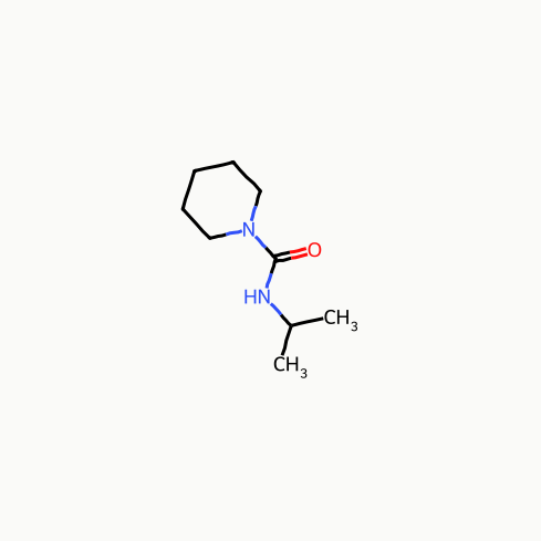 CC(C)NC(=O)N1CCCCC1